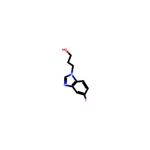 OCCCn1cnc2cc(I)ccc21